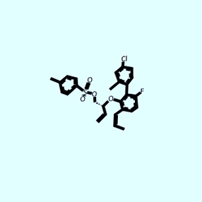 C=C[C@H](COS(=O)(=O)c1ccc(C)cc1)Oc1c(/C=C\C)ccc(F)c1-c1ccc(Cl)cc1C